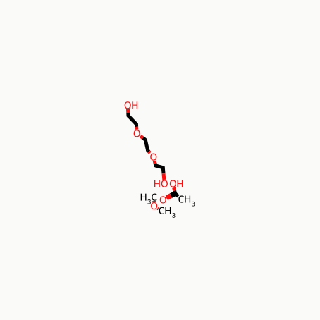 CC(=O)O.COC.OCCOCCOCCO